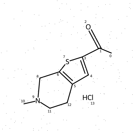 CC(=O)c1cc2c(s1)CN(C)CC2.Cl